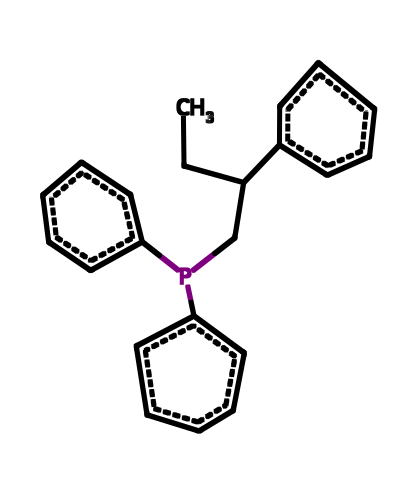 CCC(CP(c1ccccc1)c1ccccc1)c1ccccc1